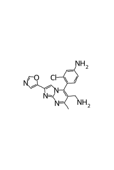 Cc1nc2nc(-c3cnco3)cn2c(-c2ccc(N)cc2Cl)c1CN